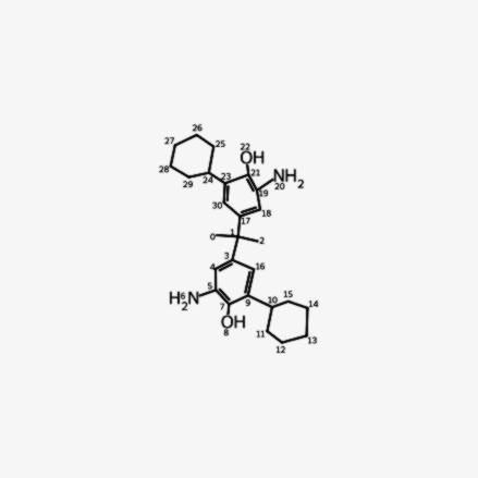 CC(C)(c1cc(N)c(O)c(C2CCCCC2)c1)c1cc(N)c(O)c(C2CCCCC2)c1